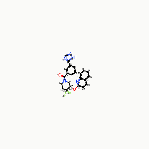 O=C(c1cccc(-c2ncn[nH]2)c1)N1CCC(F)(F)[C@@H](Oc2ccc3ccccc3n2)C1